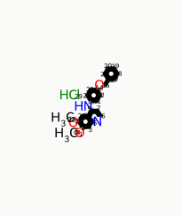 COc1cc2nccc(Nc3ccc(OCc4ccccc4)cc3)c2cc1OC.Cl